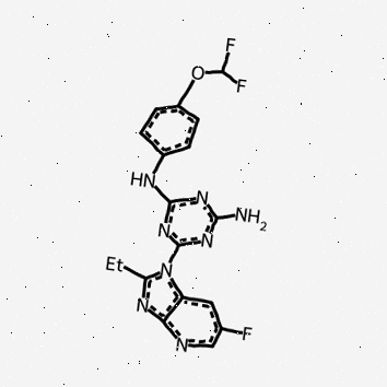 CCc1nc2ncc(F)cc2n1-c1nc(N)nc(Nc2ccc(OC(F)F)cc2)n1